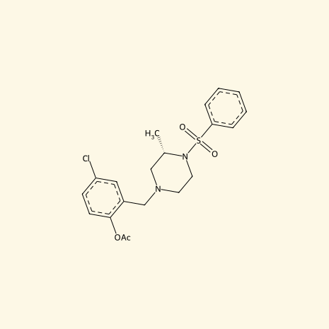 CC(=O)Oc1ccc(Cl)cc1CN1CCN(S(=O)(=O)c2ccccc2)[C@@H](C)C1